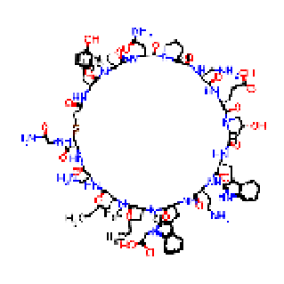 CCCC[C@H]1C(=O)N(C)[C@@H](CCCC)C(=O)N[C@@H](CN)C(=O)N[C@H](C(=O)NCC(N)=O)CSCC(=O)N[C@@H](Cc2ccc(O)cc2)C(=O)N(C)[C@@H](C)C(=O)N[C@@H](CC(N)=O)C(=O)N2CCC[C@H]2C(=O)N[C@@H](CN)C(=O)N[C@@H](CCC(=O)O)C(=O)N2C[C@H](O)C[C@H]2C(=O)N[C@@H](Cc2c[nH]c3ccccc23)C(=O)N[C@@H](CCN)C(=O)NC(Cc2cn(CC(=O)O)c3ccccc23)C(=O)N1C